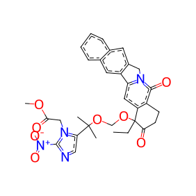 CCC1(OCOC(C)(C)c2cnc([N+](=O)[O-])n2CC(=O)OC)C(=O)CCc2c1cc1n(c2=O)Cc2cc3ccccc3cc2-1